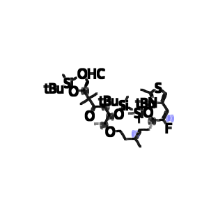 C/C(=C\C[C@H](O[Si](C)(C)C(C)(C)C)/C(F)=C\c1csc(C)n1)CCO[C@H](C)[C@@H](O[Si](C)(C)C(C)(C)C)[C@@H](C)C(=O)C(C)(C)[C@H](CC=O)O[Si](C)(C)C(C)(C)C